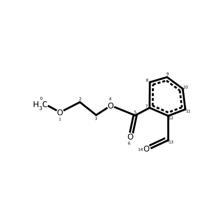 COCCOC(=O)c1ccccc1[C]=O